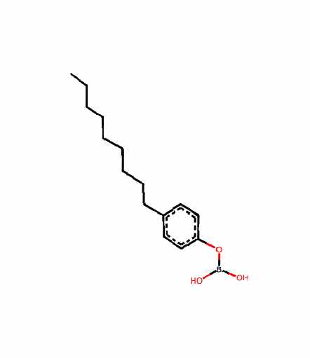 CCCCCCCCCc1ccc(OB(O)O)cc1